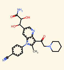 Cc1c(C(=O)CN2CCCCC2)c2ncc(C(O)C(O)C(N)=O)cc2n1-c1ccc(C#N)cc1